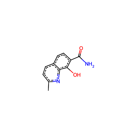 Cc1ccc2ccc(C(N)=O)c(O)c2n1